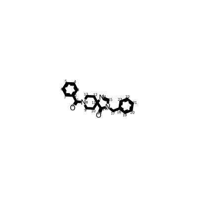 O=C(c1ccccc1)N1CCC2(CC1)N=CN(Cc1ccccc1)C2=O